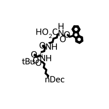 CCCCCCCCCCCCCCCC(=O)N[C@@H](CCC(=O)NCCCCC(NC(=O)OCC1c2ccccc2-c2ccccc21)C(=O)O)C(=O)OC(C)(C)C